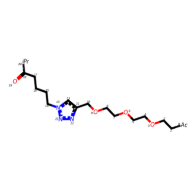 CC(=O)CCOCCOCCOCc1cn(CCCCC(=O)C(C)C)nn1